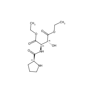 CCOC(=O)[C@H](O)[C@@H](NC(=O)[C@@H]1CCCN1)C(=O)OCC